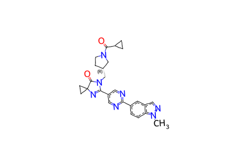 Cn1ncc2cc(-c3ncc(C4=NC5(CC5)C(=O)N4C[C@@H]4CCN(C(=O)C5CC5)C4)cn3)ccc21